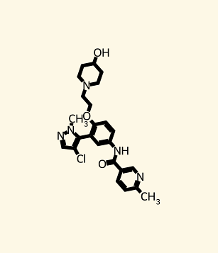 Cc1ccc(C(=O)Nc2ccc(OCCN3CCC(O)CC3)c(-c3c(Cl)cnn3C)c2)cn1